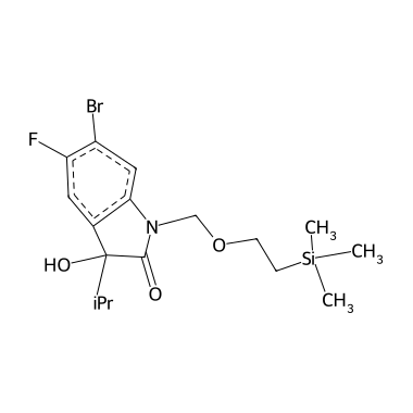 CC(C)C1(O)C(=O)N(COCC[Si](C)(C)C)c2cc(Br)c(F)cc21